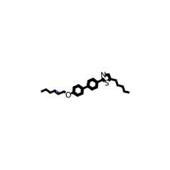 CCC/C=C/COc1ccc(-c2ccc(-c3ncc(CCCCC)s3)cc2)cc1